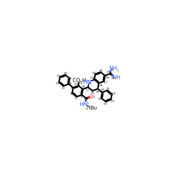 CC(C)(C)NC(=O)c1ccc(-c2ccccc2)c(C(=O)O)c1C1CC(c2ccccc2)c2cc(C(=N)N)ccc2N1